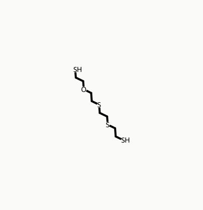 SCCOCCSCCSCCS